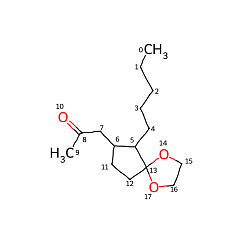 CCCCCC1C(CC(C)=O)CCC12OCCO2